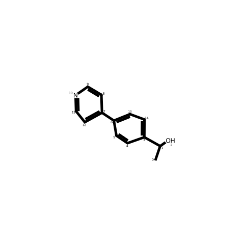 CC(O)c1ccc(-c2ccncc2)cc1